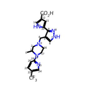 CC1CN(Cc2c[nH]nc2-c2cc(C(=O)O)c[nH]2)CCN1c1ccc(C(F)(F)F)cn1